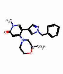 Cn1cc(-c2cnn(Cc3ccccc3)c2)c(N2CCO[C@H](C(=O)O)C2)cc1=O